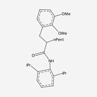 CCCCCC(Cc1cccc(OC)c1OC)C(=O)Nc1c(C(C)C)cccc1C(C)C